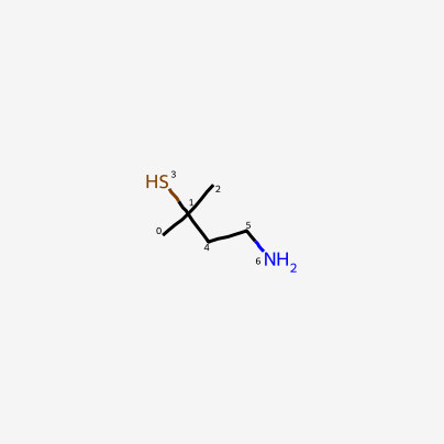 CC(C)(S)CCN